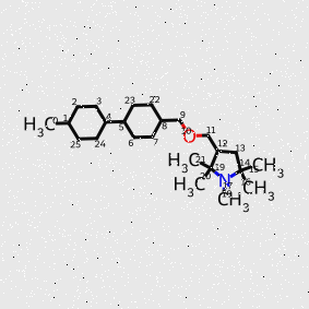 CC1CCC(C2CCC(COCC3CC(C)(C)N(C)C3(C)C)CC2)CC1